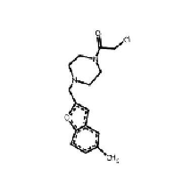 Cc1ccc2oc(CN3CCN(C(=O)CCl)CC3)cc2c1